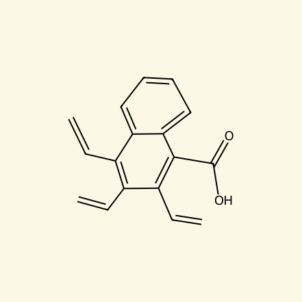 C=Cc1c(C=C)c(C(=O)O)c2ccccc2c1C=C